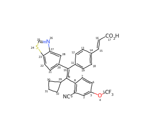 N#Cc1cc(OC(F)(F)F)ccc1C(=C(c1ccc(C=CC(=O)O)cc1)c1ccc2scnc2c1)C1CCC1